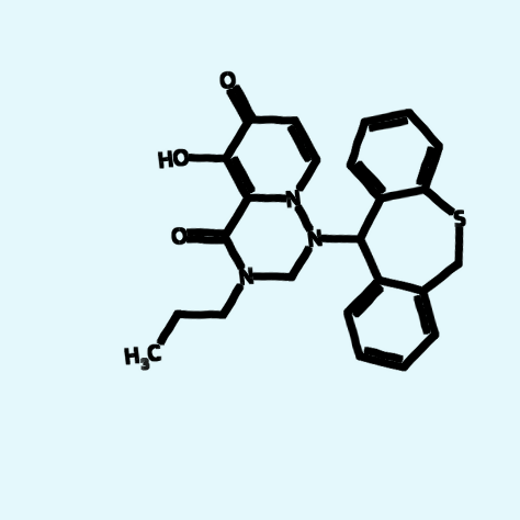 CCCN1CN(C2c3ccccc3CSc3ccccc32)n2ccc(=O)c(O)c2C1=O